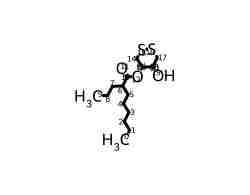 CCCCCCC(CCC)C(=O)O[C@H]1CSSC[C@@H]1O